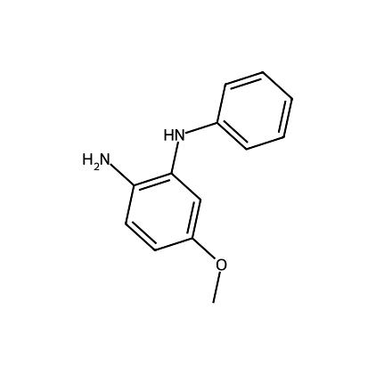 COc1ccc(N)c(Nc2ccccc2)c1